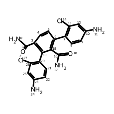 NC(=O)c1ccc(-c2ccc(N)cc2Cl)c(C(N)=O)c1-c1ccc(N)cc1Cl